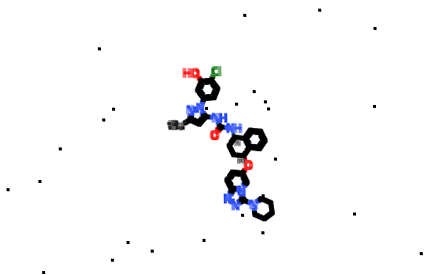 CC(C)(C)c1cc(NC(=O)N[C@H]2CC[C@@H](Oc3ccc4nnc(N5CCCCC5)n4c3)c3ccccc32)n(-c2ccc(Cl)c(O)c2)n1